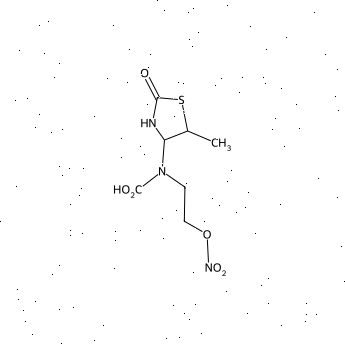 CC1SC(=O)NC1N(CCO[N+](=O)[O-])C(=O)O